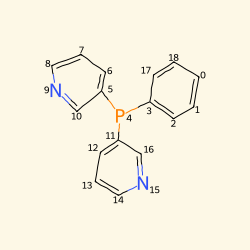 c1ccc(P(c2cccnc2)c2cccnc2)cc1